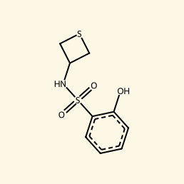 O=S(=O)(NC1CSC1)c1ccccc1O